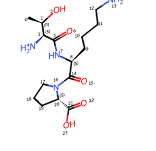 C[C@@H](O)[C@H](N)C(=O)N[C@@H](CCCCN)C(=O)N1CCC[C@H]1C(=O)O